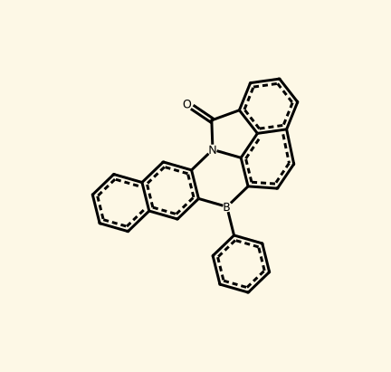 O=C1c2cccc3ccc4c(c23)N1c1cc2ccccc2cc1B4c1ccccc1